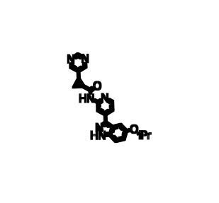 CC(C)Oc1ccc2[nH]nc(-c3ccnc(NC(=O)C4CC4c4cncnc4)c3)c2c1